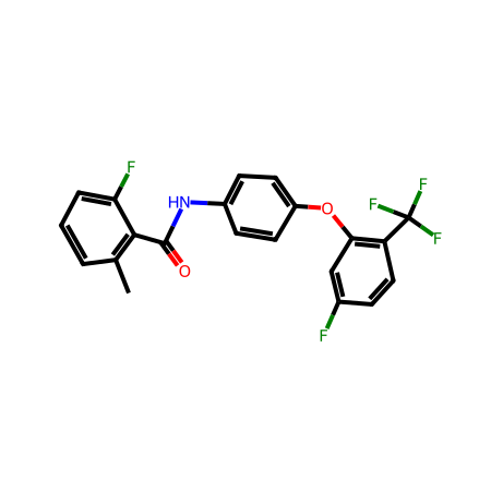 Cc1cccc(F)c1C(=O)Nc1ccc(Oc2cc(F)ccc2C(F)(F)F)cc1